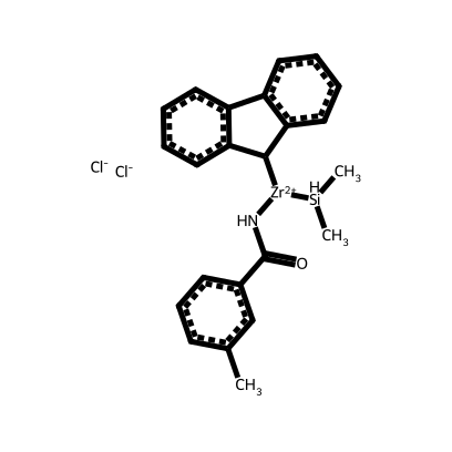 Cc1cccc(C(=O)[NH][Zr+2]([CH]2c3ccccc3-c3ccccc32)[SiH](C)C)c1.[Cl-].[Cl-]